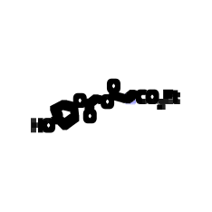 CCOC(=O)/C=C/C(=O)OCC(=O)Oc1ccc(O)cc1